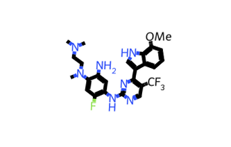 COc1cccc2c(-c3nc(Nc4cc(N)c(N(C)CCN(C)C)cc4F)ncc3C(F)(F)F)c[nH]c12